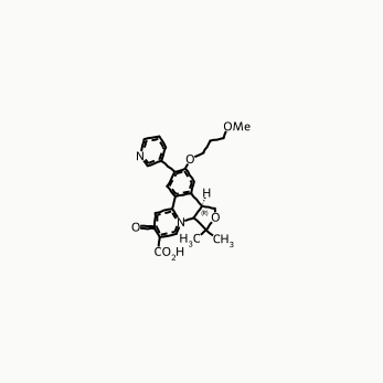 COCCCOc1cc2c(cc1-c1cccnc1)-c1cc(=O)c(C(=O)O)cn1C1[C@@H]2COC1(C)C